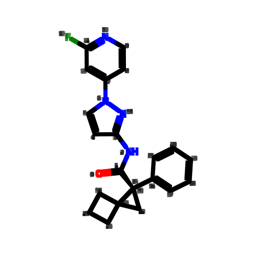 O=C(Nc1ccn(-c2ccnc(F)c2)n1)[C@@]1(c2ccccc2)CC12CCC2